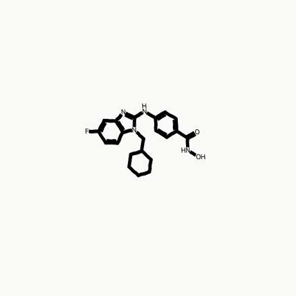 O=C(NO)c1ccc(Nc2nc3cc(F)ccc3n2CC2CCCCC2)cc1